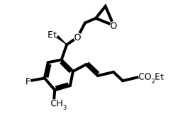 CCOC(=O)CC/C=C/c1cc(C)c(F)cc1[C@@H](CC)OCC1CO1